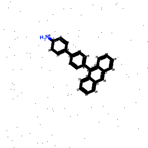 NC1C=CC(c2ccc(-c3c4ccccc4cc4ccccc34)cc2)=CC1